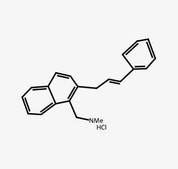 CNCc1c(CC=Cc2ccccc2)ccc2ccccc12.Cl